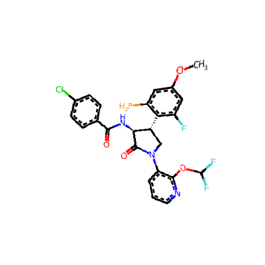 COc1cc(F)c([C@@H]2CN(c3cccnc3OC(F)F)C(=O)[C@H]2NC(=O)c2ccc(Cl)cc2)c(P)c1